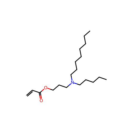 C=CC(=O)OCCCN(CCCCC)CCCCCCCC